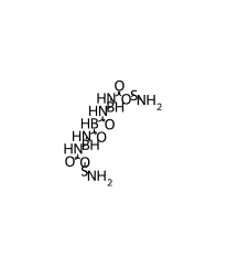 NSOC(=O)NBNC(=O)BC(=O)NBNC(=O)OSN